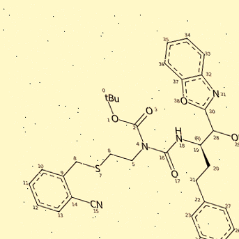 CC(C)(C)OC(=O)N(CCSCc1ccccc1C#N)C(=O)N[C@H](CCc1ccccc1)C(O)c1nc2ccccc2o1